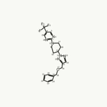 FC(F)(F)c1cnc(N2CCC(n3ncc(COCc4ccccc4)n3)CC2)nc1